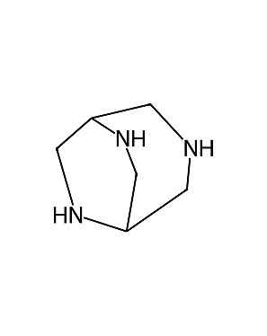 C1NCC2CNC1CN2